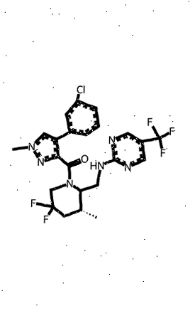 C[C@@H]1CC(F)(F)CN(C(=O)c2nn(C)cc2-c2cccc(Cl)c2)C1CNc1ncc(C(F)(F)F)cn1